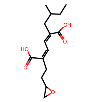 CCC(C)CC(=CC=C(CCC1CO1)C(=O)O)C(=O)O